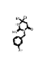 CCC1(CC)CC(=O)N(Cc2cccc(C(C)=O)c2)C(=N)N1